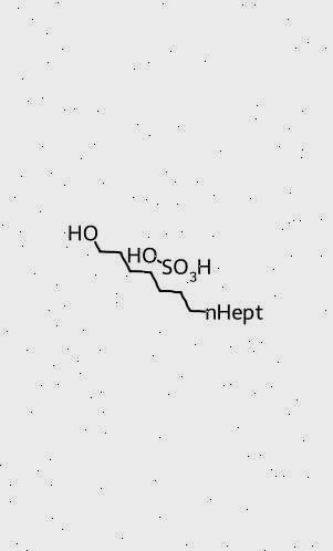 CCCCCCCCCCCCCCO.O=S(=O)(O)O